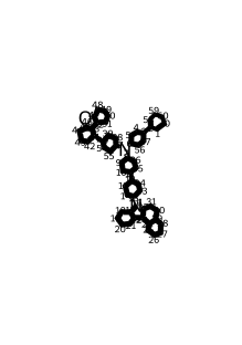 C1=CC(c2ccc(N(c3ccc(-c4ccc(-n5c6ccccc6c6c7ccccc7ccc65)cc4)cc3)c3ccc(-c4cccc5oc6ccccc6c45)cc3)cc2)=CCC1